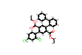 CCOC(=O)c1cc(-c2ccccc2-c2ccccc2)c(C(=O)OCC)cc1-c1ccc(Cl)cc1Cl